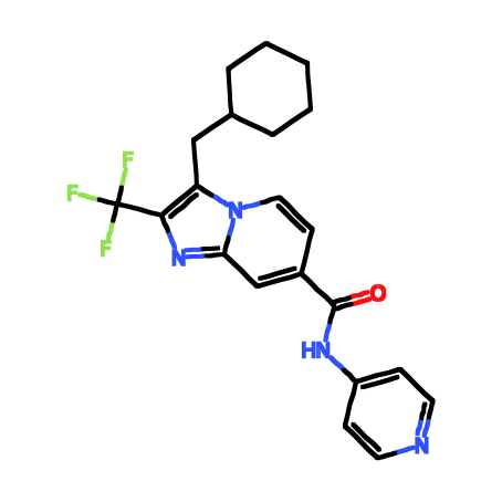 O=C(Nc1ccncc1)c1ccn2c(CC3CCCCC3)c(C(F)(F)F)nc2c1